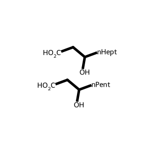 CCCCCC(O)CC(=O)O.CCCCCCCC(O)CC(=O)O